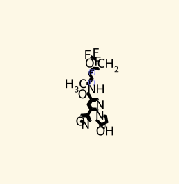 C=C/C(=C\C=C(/C)NC(=O)c1cnc(N2CC[C@@H](O)C2)c(-c2cnoc2)c1)OC(F)(F)F